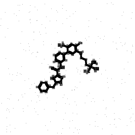 Cc1cc(F)c(OCCCC(C)(C)O)cc1-c1ccnc(NC(=O)c2nnc(Cc3ccccc3)[nH]2)c1